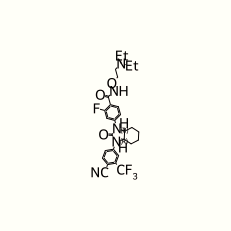 CCN(CC)CCONC(=O)c1ccc(N2C(=O)N(c3ccc(C#N)c(C(F)(F)F)c3)[C@@H]3CCCC[C@H]32)cc1F